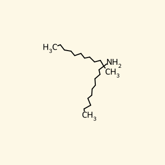 CCCCCCCCCCC(C)(N)CCCCCCCCCC